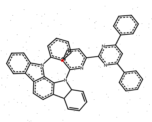 C1=CC2c3ccc4c5ccccc5n(-c5ccccc5)c4c3N(c3cccc(-c4nc(-c5ccccc5)cc(-c5ccccc5)n4)n3)C2C=C1